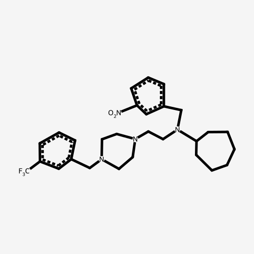 O=[N+]([O-])c1cccc(CN(CCN2CCN(Cc3cccc(C(F)(F)F)c3)CC2)C2CCCCCC2)c1